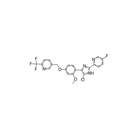 COc1cc(OCc2ccc(C(F)(F)F)nc2)ccc1-c1nc(-c2ccc(F)cn2)[nH]c1Cl